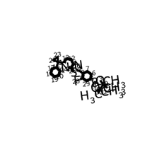 CC1(C)OB(c2ccc(-c3nc4ccc(C5(c6ccccc6)CC5)nc4s3)c(F)c2)OC1(C)C